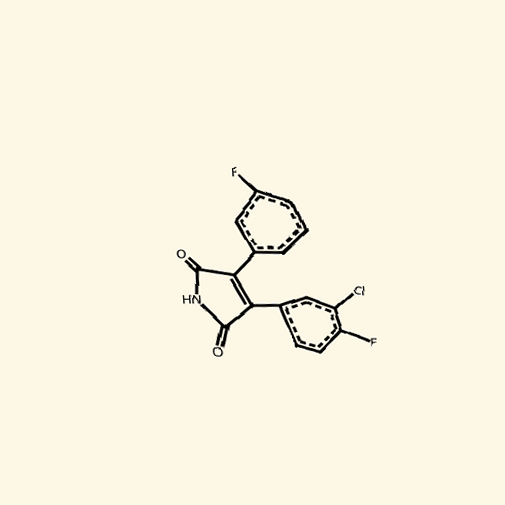 O=C1NC(=O)C(c2ccc(F)c(Cl)c2)=C1c1cccc(F)c1